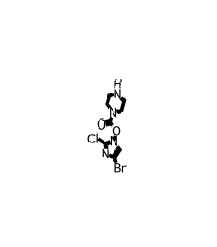 O=C(On1cc(Br)nc1Cl)N1CCNCC1